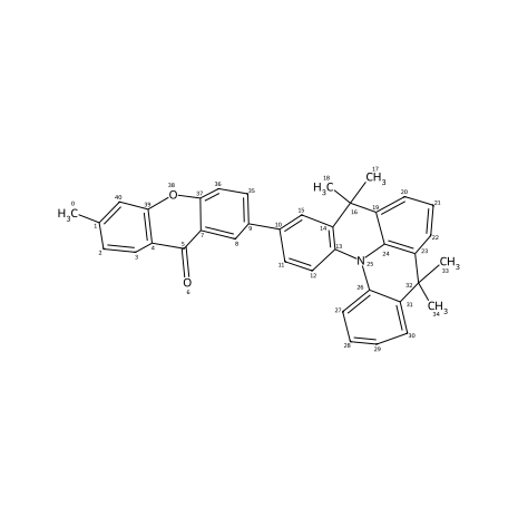 Cc1ccc2c(=O)c3cc(-c4ccc5c(c4)C(C)(C)c4cccc6c4N5c4ccccc4C6(C)C)ccc3oc2c1